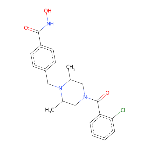 CC1CN(C(=O)c2ccccc2Cl)CC(C)N1Cc1ccc(C(=O)NO)cc1